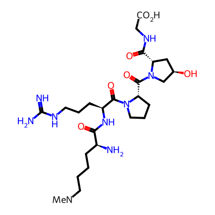 CNCCCC[C@H](N)C(=O)N[C@@H](CCCNC(=N)N)C(=O)N1CCC[C@H]1C(=O)N1C[C@H](O)C[C@H]1C(=O)NCC(=O)O